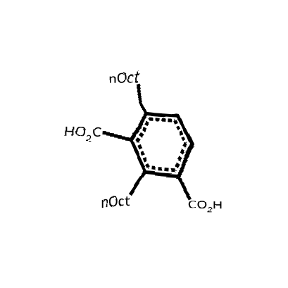 CCCCCCCCc1ccc(C(=O)O)c(CCCCCCCC)c1C(=O)O